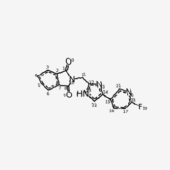 O=C1c2ccccc2C(=O)N1Cc1nc(-c2ccc(F)nc2)c[nH]1